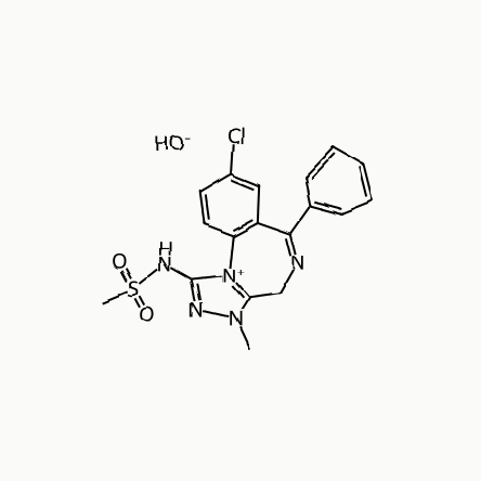 Cn1nc(NS(C)(=O)=O)[n+]2c1CN=C(c1ccccc1)c1cc(Cl)ccc1-2.[OH-]